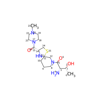 C[C@@H](O)[C@H](N)C(=O)N1CCCC2(C1)N[C@H](C(=O)N1CCN(C)CC1)CS2